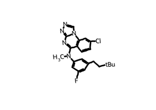 CN(c1cc(F)cc(CCC(C)(C)C)c1)c1nc2nncn2c2cc(Cl)ccc12